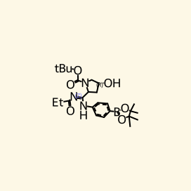 CCC(=O)/N=C(\Nc1ccc(B2OC(C)(C)C(C)(C)O2)cc1)C1C[C@@H](O)CN1C(=O)OC(C)(C)C